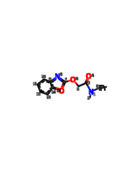 CC(C)N(C)C(=O)COc1nc2ccccc2o1